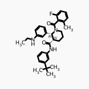 CCNc1cccc([C@H]2[C@@H](C(=O)Nc3cccc(C(C)(C)C)c3)CCCN2C(=O)c2c(C)cccc2F)c1